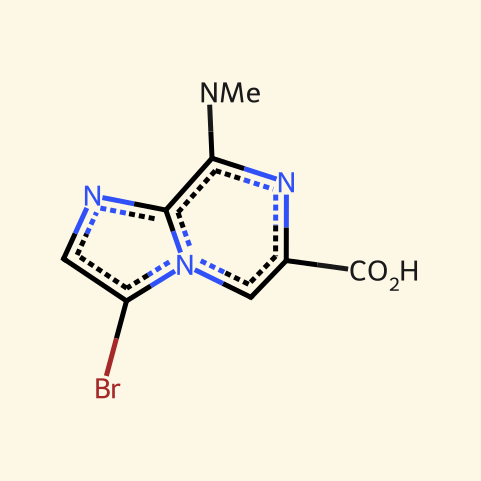 CNc1nc(C(=O)O)cn2c(Br)cnc12